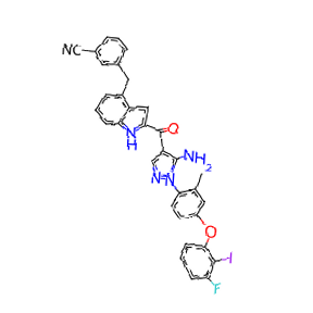 Cc1cc(Oc2cccc(F)c2I)ccc1-n1ncc(C(=O)c2cc3c(Cc4cccc(C#N)c4)cccc3[nH]2)c1N